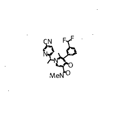 CNC(=O)c1cn(C(C)c2ccc(C#N)cn2)c(C)c(-c2cccc(C(F)F)c2)c1=O